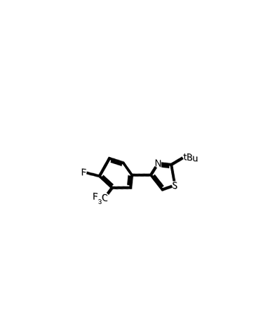 CC(C)(C)c1nc(-c2ccc(F)c(C(F)(F)F)c2)cs1